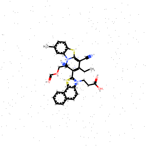 CCC(/C(C#N)=C1/Sc2ccc(C)cc2N1CCOC=O)=C(/C#N)c1sc2c3ccccc3ccc2[n+]1CCC(=O)O